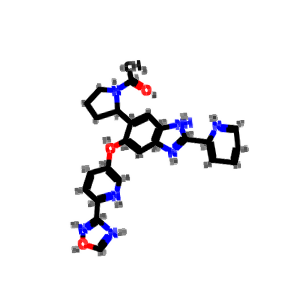 CC(=O)N1CCCC1c1cc2[nH]c(-c3ccccn3)nc2cc1Oc1ccc(-c2ncon2)nc1